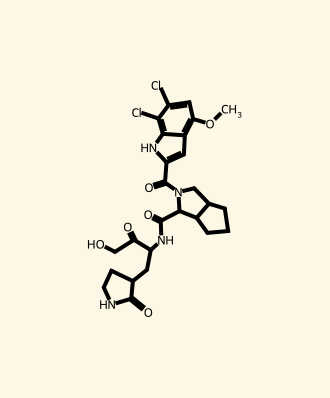 COc1cc(Cl)c(Cl)c2[nH]c(C(=O)N3CC4CCCC4C3C(=O)NC(CC3CCNC3=O)C(=O)CO)cc12